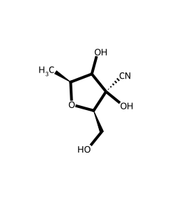 C[C@@H]1O[C@H](CO)[C@@](O)(C#N)C1O